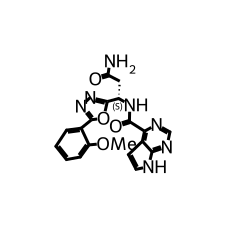 COc1ccccc1-c1nnc([C@H](CC(N)=O)NC(=O)c2ncnc3[nH]ccc23)o1